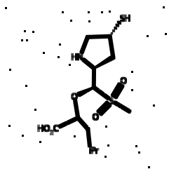 CC(C)CC(O[C@@H]([C@@H]1C[C@@H](S)CN1)S(C)(=O)=O)C(=O)O